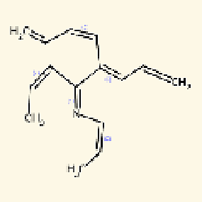 C=C\C=C/C(=C\C=C)C(/C=C\C)=N\C=C/C